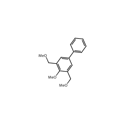 COCc1cc(-c2ccccc2)cc(COC)c1OC